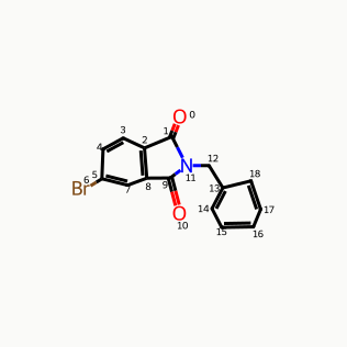 O=C1c2ccc(Br)cc2C(=O)N1Cc1ccccc1